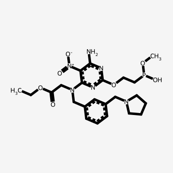 CCOC(=O)CN(Cc1cccc(CN2CCCC2)c1)c1nc(OCCP(O)OC)nc(N)c1[N+](=O)[O-]